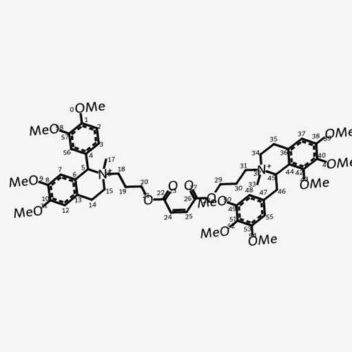 COc1ccc(C2c3cc(OC)c(OC)cc3CC[N+]2(C)CCCOC(=O)/C=C\C(=O)OCCC[N+]2(C)CCc3cc(OC)c(OC)c(OC)c3C2Cc2cc(OC)c(OC)c(OC)c2)cc1OC